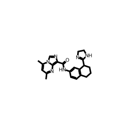 Cc1cc(C)n2cnc(C(=O)Nc3ccc4c(c3)C(C3=NCCN3)CCC4)c2n1